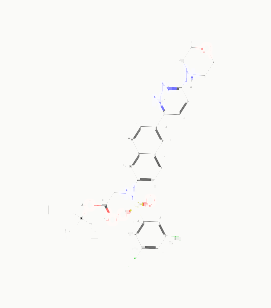 CC(C)(C)OC(=O)CN(c1ccc2cc(-c3ccc(N4CCOCC4)nn3)ccc2c1)S(=O)(=O)c1cc(Cl)cc(Cl)c1